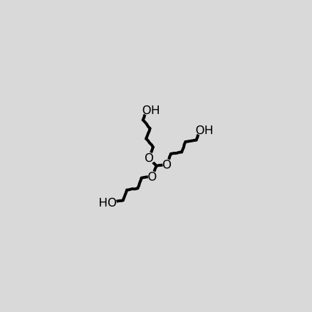 OCCCCOC(OCCCCO)OCCCCO